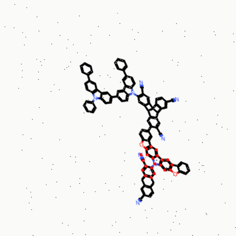 N#Cc1ccc2c(c1)C1c3cc(C#N)c(-n4c5ccccc5c5cc6c(cc54)oc4ccccc46)cc3C2c2cc(-n3c4ccccc4c4cc5c(cc43)oc3ccc(-c4cc6c(cc4C#N)C4c7cc(C#N)ccc7C47c4cc(C#N)c(-n8c9ccc(-c%10ccccc%10)cc9c9cc(-c%10ccc%11c(c%10)c%10cc(-c%12ccccc%12)ccc%10n%11-c%10ccccc%10)ccc98)cc4C67)cc35)c(C#N)cc21